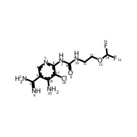 N=C(N)c1cnc(NC(=O)NCCOC(F)F)c(Cl)c1N